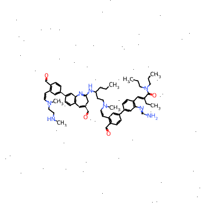 CCCC(CCN(C)/C=C\c1cc(-c2ccc(/C=C(\CC)C(=O)N(CCC)CCC)c(/N=C/N)c2)ccc1C=O)NC1=Nc2cc(-c3ccc(C=O)c(/C=C\N(C)CCNC)c3)ccc2C=C(C=O)C1